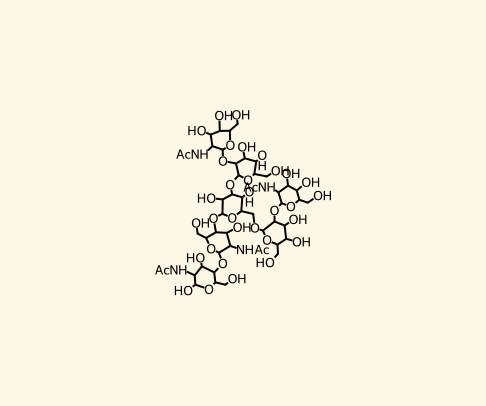 CC(=O)NC1C(O)OC(CO)C(OC2OC(CO)C(OC3OC(COC4OC(CO)C(O)C(O)C4OC4OC(CO)C(O)C(O)C4NC(C)=O)C(O)C(OC4OC(CO)C(O)C(O)C4OC4OC(CO)C(O)C(O)C4NC(C)=O)C3O)C(O)C2NC(C)=O)C1O